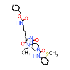 CCCN1C(=O)[C@H](CCCCNC(=O)OCc2ccccc2)NC(=O)C12CCN(C(=O)Nc1ccccc1SC)CC2